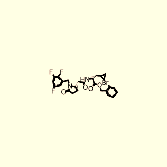 O=C(C[C@@H]1CCC(=O)N1Cc1cc(F)cc(F)c1F)N[C@@H](CC1CC1)C(=O)OCc1ccccc1Br